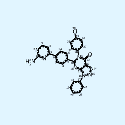 Nc1nccc(-c2ccc(-c3nc4c(nnn4-c4ccccc4)c(=O)n3-c3ccc(Cl)cc3)cc2)n1